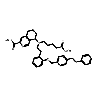 COC(=O)CCCCN(CCc1ccccc1OCc1ccc(CCc2ccccc2)cc1)C1CCCc2cc(C(=O)OC)ncc21